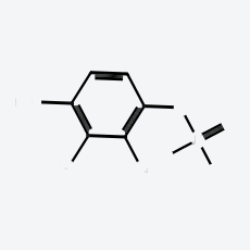 Cc1ccc(OP(=O)(O)O)c(Br)c1Br